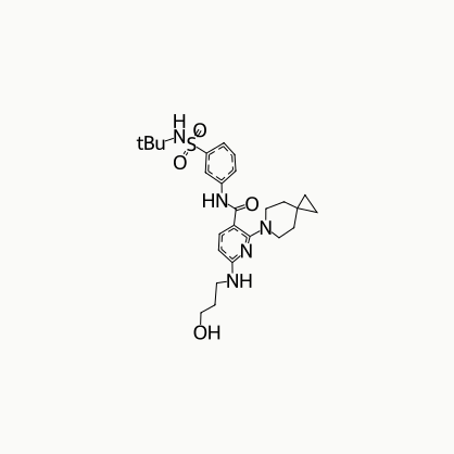 CC(C)(C)NS(=O)(=O)c1cccc(NC(=O)c2ccc(NCCCO)nc2N2CCC3(CC2)CC3)c1